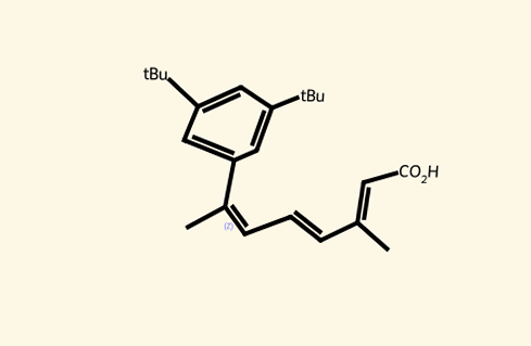 CC(C=C/C=C(/C)c1cc(C(C)(C)C)cc(C(C)(C)C)c1)=CC(=O)O